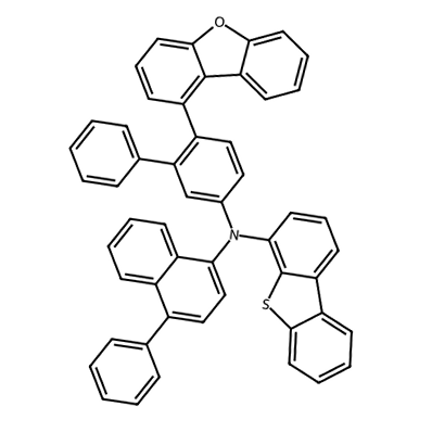 c1ccc(-c2cc(N(c3ccc(-c4ccccc4)c4ccccc34)c3cccc4c3sc3ccccc34)ccc2-c2cccc3oc4ccccc4c23)cc1